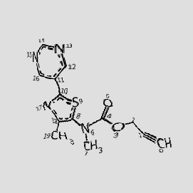 C#CCOC(=O)N(C)c1sc(-c2cncnc2)nc1C